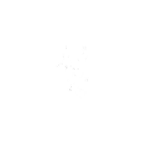 C=CC[C@@]1(C)C[C@H](c2cccc(Cl)c2)[C@@H](c2ccc(Cl)cc2)N(CCCc2nc3ccccc3s2)C1=O